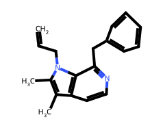 C=CCn1c(C)c(C)c2ccnc(Cc3ccccc3)c21